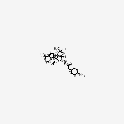 CC1(C)O[C@H]2[C@@H](O1)[C@](C#N)(c1ccc3c(N)ncnn13)O[C@@H]2COC(=O)CC1CCC(N)CC1